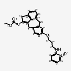 COC(=O)OC1=C2Cc3ccc(OCCCNc4cccc[n+]4[O-])cc3Cc3cccc(c32)C1